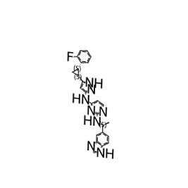 C[C@H](Nc1nccc(Nc2cc([C@H]3C[C@@H]3c3ccccc3F)[nH]n2)n1)c1ccc2[nH]cnc2c1